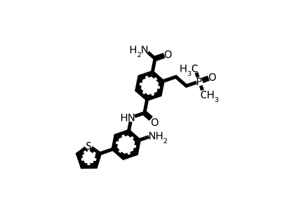 CP(C)(=O)CCc1cc(C(=O)Nc2cc(-c3cccs3)ccc2N)ccc1C(N)=O